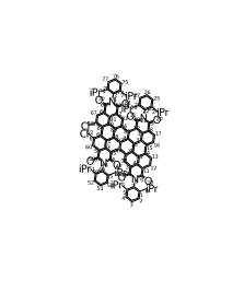 CC(C)c1cccc(C(C)C)c1-n1c(=O)c2ccc3c4ccc5c(=O)n(-c6c(C(C)C)cccc6C(C)C)c(=O)c6c5c4c4c5c(cc(c1=O)c2c35)c1c2c(=O)n(-c3c(C(C)C)cccc3C(C)C)c(=O)c3cc(Cl)c5c7c(Cl)cc8c(=O)n(-c9c(C(C)C)cccc9C(C)C)c(=O)c9cc%10c6c4c1c(c%10c7c89)c5c32